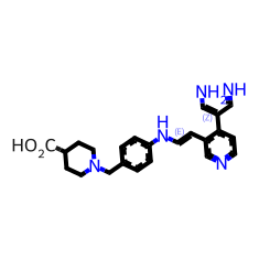 N=C/C(=C\N)c1ccncc1/C=C/Nc1ccc(CN2CCC(C(=O)O)CC2)cc1